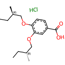 CC[C@@H](C)COc1ccc(C(=O)O)cc1OC[C@H](C)CC.Cl